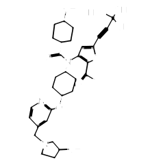 CC1CCN(Cc2ccnc(O[C@H]3CC[C@H](N(c4cc(C#CC(C)(C)C)sc4C(=O)O)C(=O)[C@H]4CC[C@H](C)CC4)CC3)c2)C1